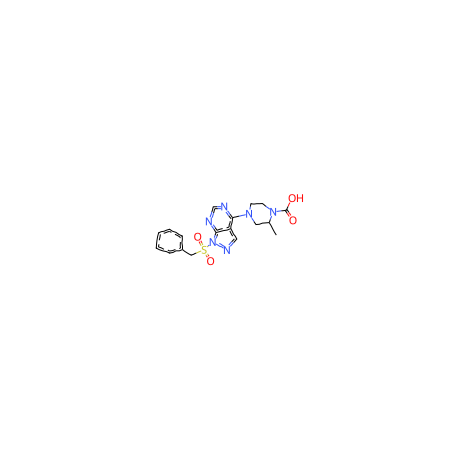 CC1CN(c2ncnc3c2cnn3S(=O)(=O)Cc2ccccc2)CCN1C(=O)O